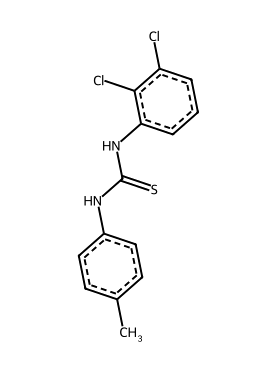 Cc1ccc(NC(=S)Nc2cccc(Cl)c2Cl)cc1